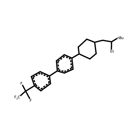 CCCCC(CC)CC1CCC(c2ccc(-c3ccc(C(F)(F)C(F)(F)F)cc3)cc2)CC1